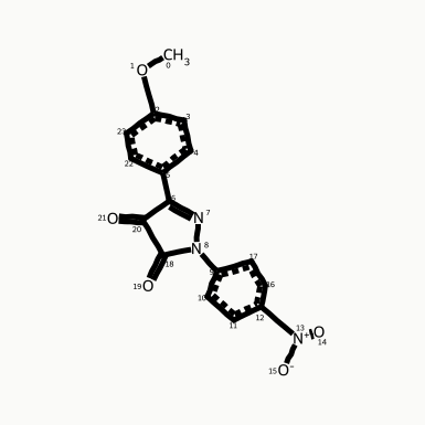 COc1ccc(C2=NN(c3ccc([N+](=O)[O-])cc3)C(=O)C2=O)cc1